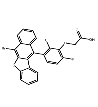 O=C(O)COc1c(F)ccc(-c2c3ccccc3c(Br)c3sc4ccccc4c23)c1F